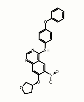 O=[N+]([O-])c1cc2c(Nc3ccc(Oc4ccccc4)cc3)ncnc2cc1O[C@H]1CCOC1